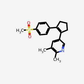 Cc1cc(C2=C(c3ccc(S(C)(=O)=O)cc3)CCC2)cnc1C